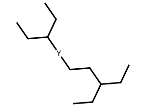 CCC(CC)C[CH2][Y][CH](CC)CC